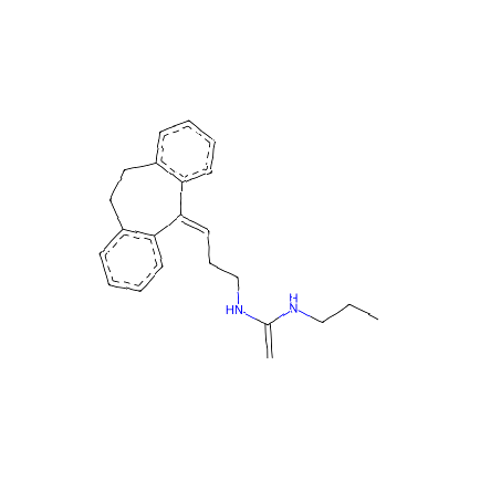 C=C(NCCC)NCCC=C1c2ccccc2CCc2ccccc21